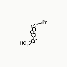 Cc1ccc(S(=O)(=O)O)cc1C1CC[C@@]2(C)C(=CCC3C2CC[C@@]2(C)C3CC[C@@H]2[C@H](C)CCCC(C)C)C1